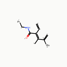 C=C/C(C(=O)NCC(C)C)=C(/C)C(=C)C(C)(C)C